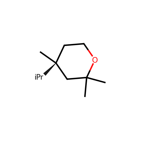 CC(C)[C@@]1(C)CCOC(C)(C)C1